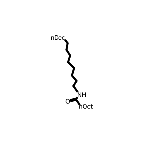 CCCCCCCCCCCCCCCCCCNC(=O)CCCCCCCC